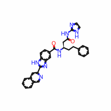 O=C(C[C@@H](CCc1ccccc1)NC(=O)c1ccc2[nH]c(-c3cc4ccccc4cn3)nc2c1)Nc1ncc[nH]1